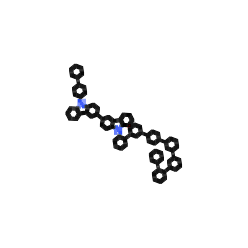 c1ccc(-c2ccc(-n3c4ccccc4c4cc(-c5ccc6c(c5)c5ccccc5n6-c5ccccc5-c5cccc(-c6ccc(-c7cccc(-c8cccc(-c9ccccc9-c9ccccc9)c8)c7)cc6)c5)ccc43)cc2)cc1